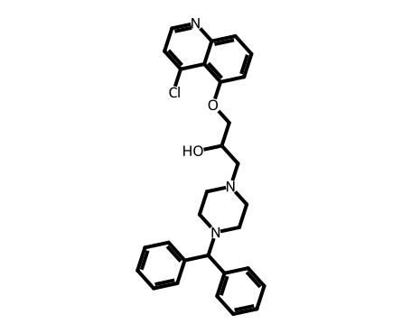 OC(COc1cccc2nccc(Cl)c12)CN1CCN(C(c2ccccc2)c2ccccc2)CC1